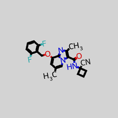 Cc1cc(OCc2c(F)cccc2F)c2nc(C)c(C(=O)NC3(C#N)CCC3)n2c1